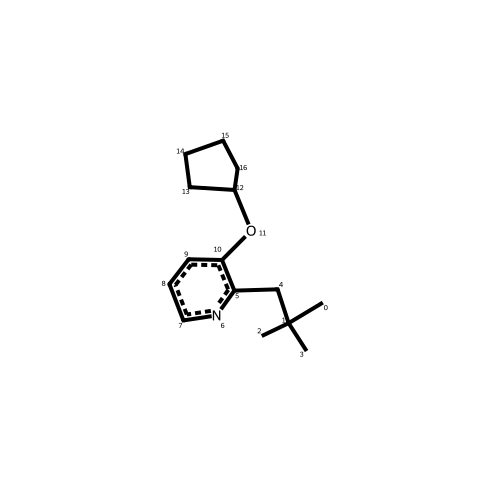 CC(C)(C)Cc1ncccc1OC1CCCC1